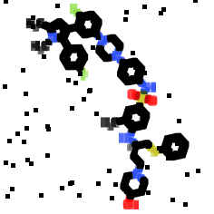 Cc1cc(S(=O)(=O)Nc2ccc(N3CCN(c4ccc(F)c(-c5cc(C)n(C)c5-c5ccc(F)cc5)c4)CC3)cc2)ccc1N[C@H](CCN1CCC(O)CC1)CSc1ccccc1